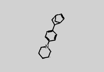 [CH]1CCCN(c2ccc(C3CC4C=CC3C4)cc2)C1